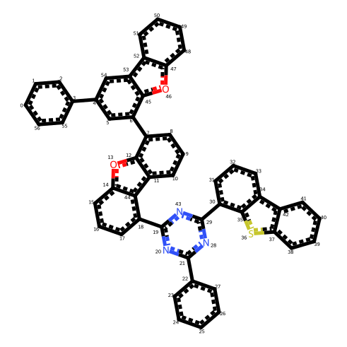 c1ccc(-c2cc(-c3cccc4c3oc3cccc(-c5nc(-c6ccccc6)nc(-c6cccc7c6sc6ccccc67)n5)c34)c3oc4ccccc4c3c2)cc1